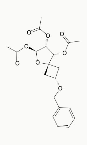 CC(=O)O[C@@H]1O[C@]2(C[C@@H](OCc3ccccc3)C2)[C@@H](OC(C)=O)[C@H]1OC(C)=O